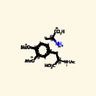 COc1ccc(C[C@@H](NC(C)=O)C(=O)O)cc1OC.C[C@H](N)C(=O)O